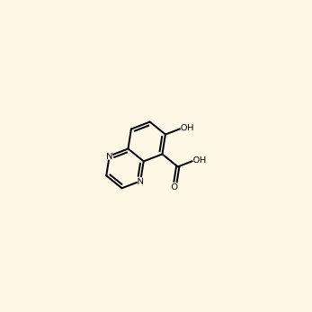 O=C(O)c1c(O)ccc2nccnc12